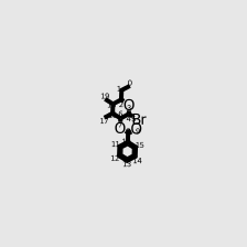 CCC1OC(Br)C(OC(=O)c2ccccc2)C(C)C1C